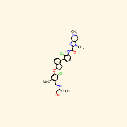 COc1cc(OC2CCc3c(-c4cccc(NC(=O)c5nc6c(n5C)CCN(C)C6)c4Cl)cccc32)c(Cl)cc1CNC(CO)C(=O)O